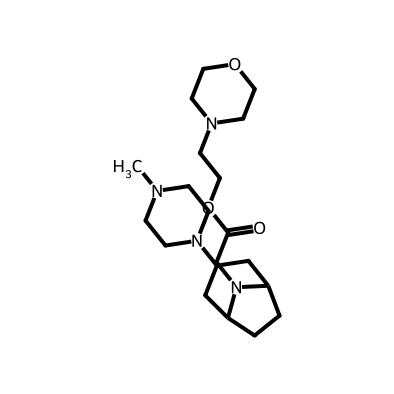 CN1CCN(C2CC3CCC(C2)N3CC(=O)OCCN2CCOCC2)CC1